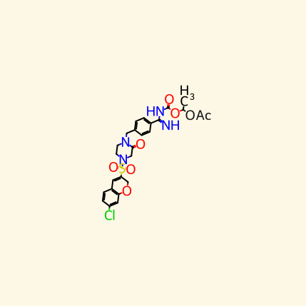 CC(=O)OC(C)OC(=O)NC(=N)c1ccc(CN2CCN(S(=O)(=O)C3=Cc4ccc(Cl)cc4OC3)CC2=O)cc1